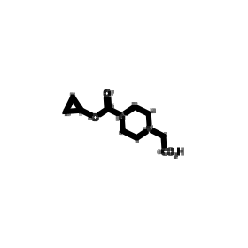 O=C(O)CN1CCN(C(=O)OC2CC2)CC1